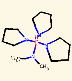 CN(C)[PH](N1CCCC1)(N1CCCC1)N1CCCC1